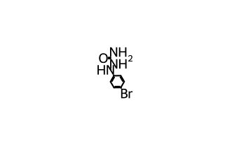 NC(=O)NNc1ccc(Br)cc1